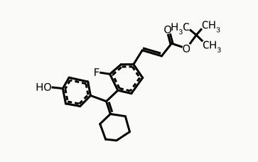 CC(C)(C)OC(=O)C=Cc1ccc(C(=C2CCCCC2)c2ccc(O)cc2)c(F)c1